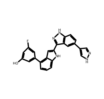 Oc1cc(F)cc(-c2cccc3[nH]c(-c4n[nH]c5ccc(-c6cn[nH]c6)cc45)cc23)c1